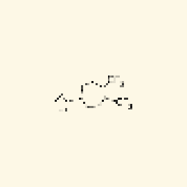 FC(F)(F)C1CCC(C2CCCC2)CCC1C(F)(F)F